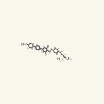 CCCC1CCC(c2ccc(-c3cc(F)c(OCC4CC=C(CCC=C(C)C)CC4)c(F)c3)cc2)CC1